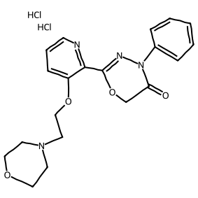 Cl.Cl.O=C1COC(c2ncccc2OCCN2CCOCC2)=NN1c1ccccc1